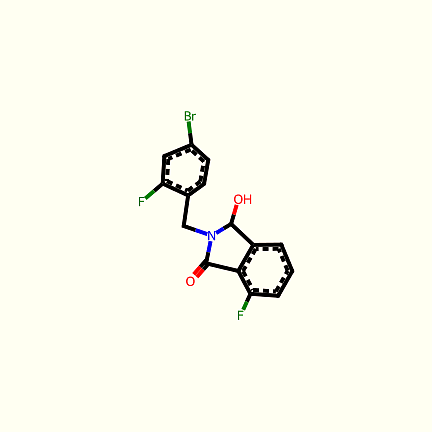 O=C1c2c(F)cccc2C(O)N1Cc1ccc(Br)cc1F